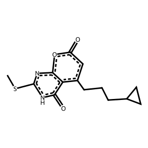 CSc1nc2oc(=O)cc(CCCC3CC3)c2c(=O)[nH]1